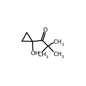 CC(C)(C)C(=O)C1(O)CC1